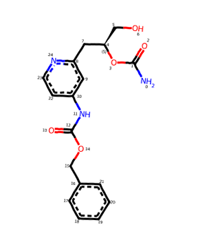 NC(=O)O[C@H](CO)Cc1cc(NC(=O)OCc2ccccc2)ccn1